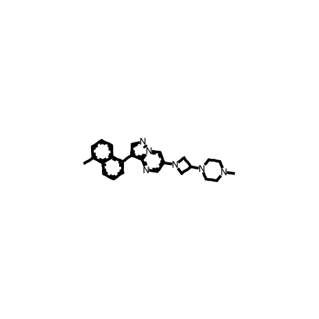 Cc1cccc2c(-c3cnn4cc(N5CC(N6CCN(C)CC6)C5)cnc34)cccc12